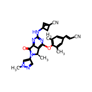 Cc1cc(/C=C/C#N)cc(C)c1Oc1nc(NC23CC(C#N)(C2)C3)nc2c1[C@@H](C)N(c1cnn(C)c1)C2=O